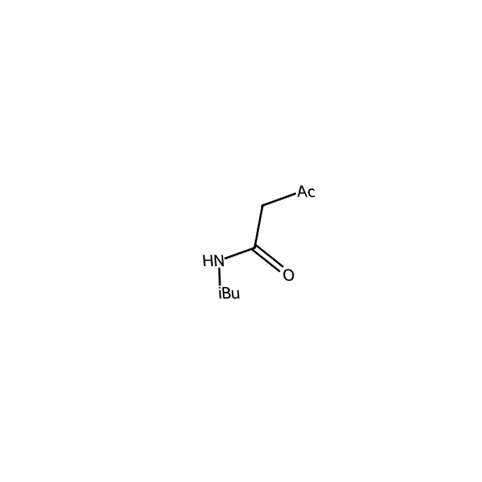 CCC(C)NC(=O)CC(C)=O